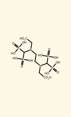 O=C(O)CN(CCN(CC(=O)O)C(P(=O)(O)O)P(=O)(O)O)C(P(=O)(O)O)P(=O)(O)O